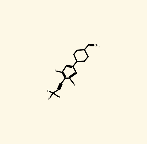 C=CC1CCC(c2cc(F)c(C#CC(F)(F)F)c(F)c2)CC1